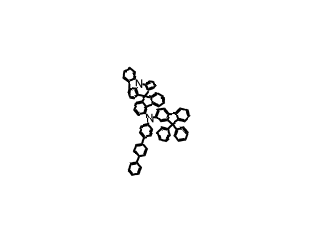 c1ccc(-c2ccc(-c3ccc(N(c4ccc5c(c4)C(c4ccccc4)(c4ccccc4)c4ccccc4-5)c4cccc5c4-c4ccccc4C54c5ccccc5-n5c6ccccc6c6cccc4c65)cc3)cc2)cc1